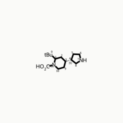 CC(C)(C)C1CC([C@@H]2CCNC2)CCN1C(=O)O